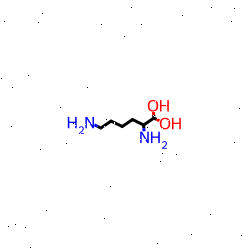 NCCCCC(N)C(O)O